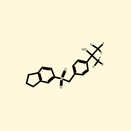 O=S(=O)(Cc1ccc(C(O)(C(F)(F)F)C(F)(F)F)cc1)c1ccc2c(c1)CCC2